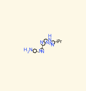 CC(C)c1cnnc(Nc2ccc3ncc(-c4cnn(Cc5ccc(N)cc5)c4)cc3n2)c1